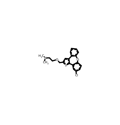 CN(C)CCOCc1cc2c(s1)-c1cc(Cl)ccc1Oc1ccccc1-2